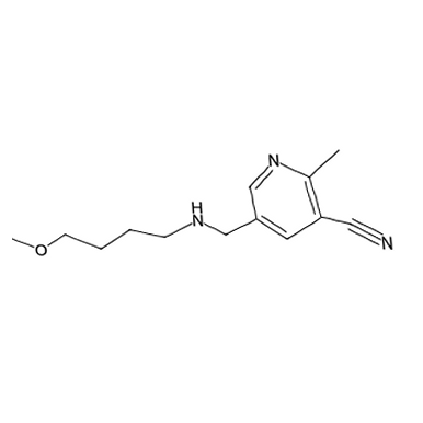 COCCCCNCc1cnc(C)c(C#N)c1